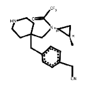 C[C@@H]1C[C@H]1N(CC1(Cc2ccc(CC#N)cc2)CCNCC1)C(=O)C(F)(F)F